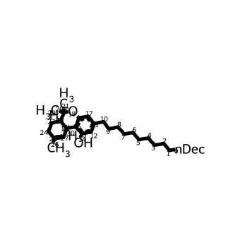 CCCCCCCCCCCCCCCCCCCCc1cc(O)c2c(c1)OC(C)(C)[C@@H]1CCC(C)=C[C@H]21